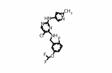 Cn1cc(Nc2ncc(Cl)c(NCc3cc(OC(F)F)ccc3F)n2)cn1